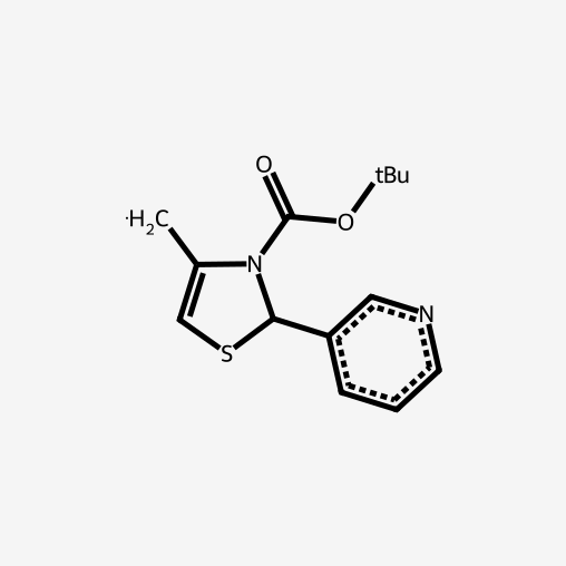 [CH2]C1=CSC(c2cccnc2)N1C(=O)OC(C)(C)C